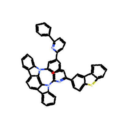 c1ccc(-c2cccc(-c3cccc(-n4c5ccccc5c5ccc6c7ccccc7n(-c7cccc(-c8ccc9sc%10ccccc%10c9c8)n7)c6c54)c3)n2)cc1